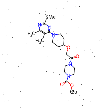 CSc1nc(N2CCC(OCC(=O)N3CCN(C(=O)OC(C)(C)C)CC3)CC2)c(C)c(C(F)(F)F)n1